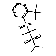 CC(C)S(=O)(=O)C(C)(C)S(=O)(=O)c1ccccc1C(C)(C)C